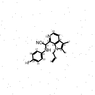 C=CCn1c(C)c(C)c2ccnc(C(C#N)Nc3ccc(F)cc3)c21